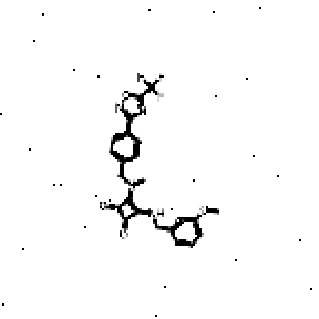 COc1cccc(CNc2c(N(C)Cc3ccc(-c4noc(C(F)(F)F)n4)cc3)c(=O)c2=O)c1